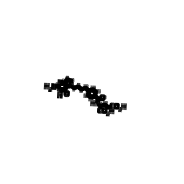 Nc1nc2ccn(CCCCc3ccc(C(=O)NC(CCC(=O)O)C(=O)O)cc3)c2c(=O)[nH]1